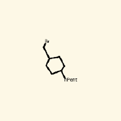 CCCCCC1CCC(CBr)CC1